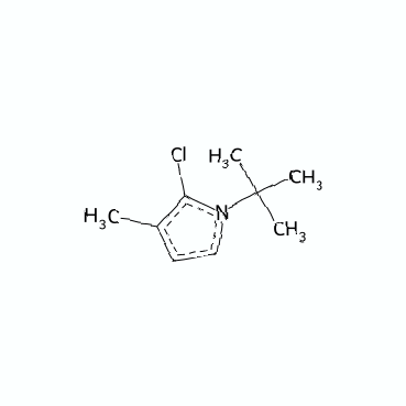 Cc1ccn(C(C)(C)C)c1Cl